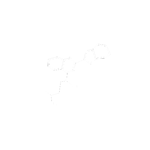 CN(C)CCN(C)c1nc(-c2cc3ccccc3o2)nc2ccccc12.Cl.Cl